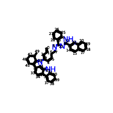 C=C/C=C(\C=C/CC/N=C(\N=C(/N)c1ccc2ccccc2c1)c1ccccc1)n1c2c(c3ccc4c5ccccc5[nH]c4c31)C=CCC2C